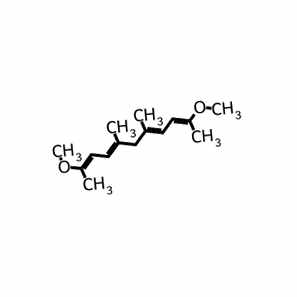 CO/C(C)=C/C=C(\C)C/C(C)=C/C=C(\C)OC